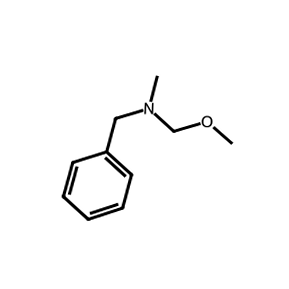 COCN(C)Cc1ccccc1